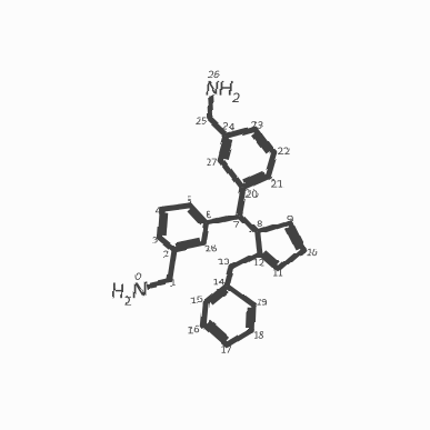 NCc1cccc(C([C]2C=CC=C2Cc2ccccc2)c2cccc(CN)c2)c1